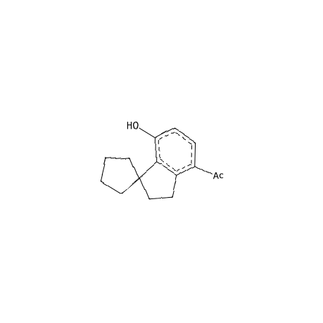 CC(=O)c1ccc(O)c2c1CCC21CCCC1